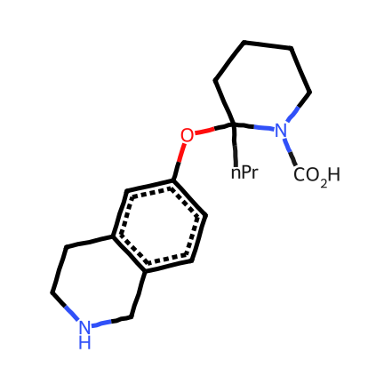 CCCC1(Oc2ccc3c(c2)CCNC3)CCCCN1C(=O)O